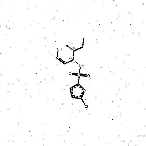 CC[C@H](C)[C@@H](/C=N\O)NS(=O)(=O)c1ccc(Cl)s1